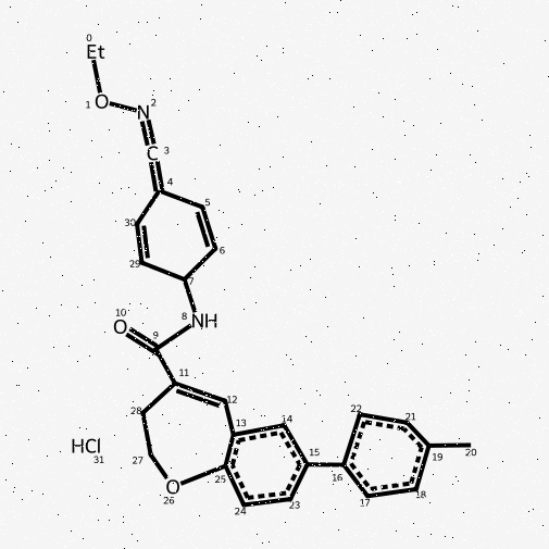 CCON=C=C1C=CC(NC(=O)C2=Cc3cc(-c4ccc(C)cc4)ccc3OCC2)C=C1.Cl